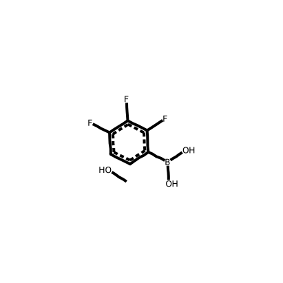 CO.OB(O)c1ccc(F)c(F)c1F